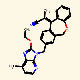 CCOc1nc2c(C)ccnc2n1Cc1ccc2c(c1)COc1ccccc1C2=C(C)C#N